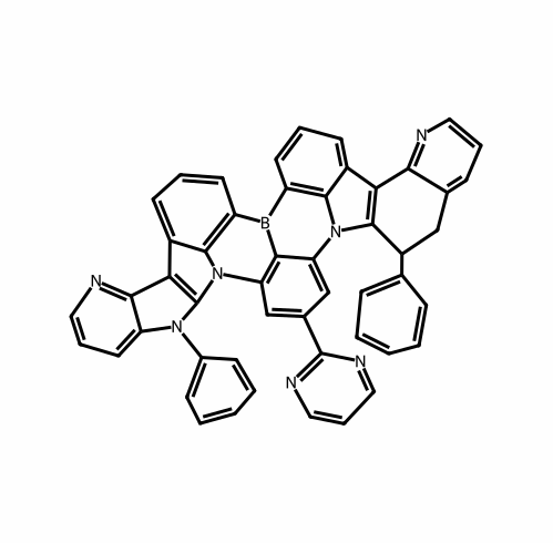 c1ccc(C2Cc3cccnc3-c3c2n2c4c(cccc34)B3c4c-2cc(-c2ncccn2)cc4-n2c4c3cccc4c3c4ncccc4n(-c4ccccc4)c32)cc1